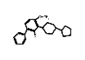 Fc1c(-c2ccccc2)ccc(OC(F)(F)F)c1C1CCC(C2CCCC2)CC1